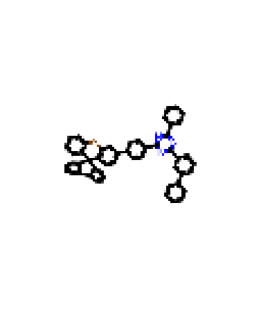 c1ccc(-c2cccc(-c3nc(-c4ccccc4)nc(-c4ccc(-c5ccc6c(c5)Sc5ccccc5C65c6ccccc6-c6ccccc65)cc4)n3)c2)cc1